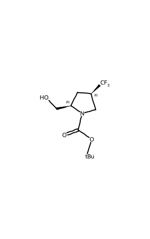 CC(C)(C)OC(=O)N1C[C@H](C(F)(F)F)C[C@@H]1CO